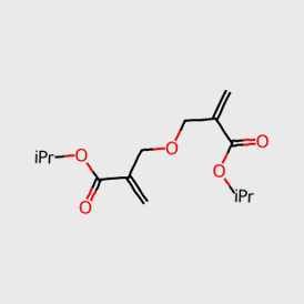 C=C(COCC(=C)C(=O)OC(C)C)C(=O)OC(C)C